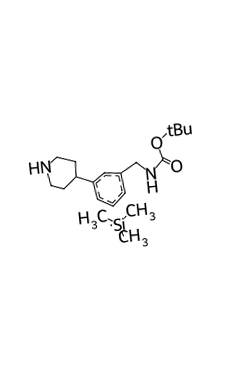 CC(C)(C)OC(=O)NCc1cccc(C2CCNCC2)c1.C[Si](C)C